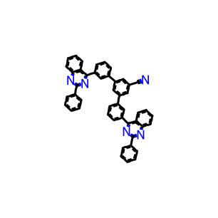 N#Cc1cc(-c2cccc(-c3nc(-c4ccccc4)nc4ccccc34)c2)cc(-c2cccc(-c3nc(-c4ccccc4)nc4ccccc34)c2)c1